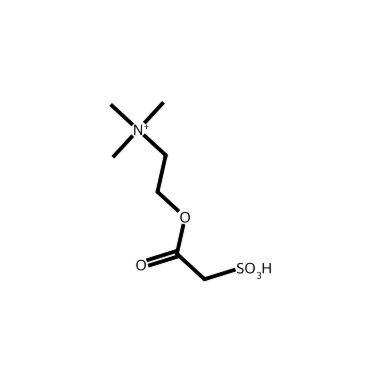 C[N+](C)(C)CCOC(=O)CS(=O)(=O)O